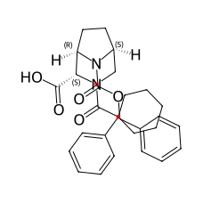 O=C(O)[C@@H]1[C@H]2CC[C@@H](CN1C(=O)C1(c3ccccc3)CCCCC1)N2C(=O)OCc1ccccc1